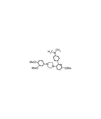 COc1ccc(N2CCN(c3ccc(OC)c(OC)c3)CC2)c(-c2ccc(N(C)C)cc2)n1